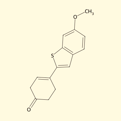 COc1ccc2cc(C3=CCC(=O)CC3)sc2c1